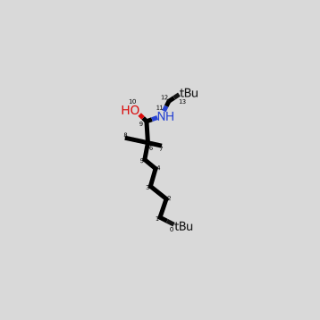 CC(C)(C)CCCCCC(C)(C)C(O)NCC(C)(C)C